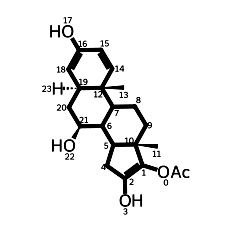 CC(=O)OC1=C(O)CC2C3C(CC[C@]12C)[C@@]1(C)C=CC(O)=C[C@@H]1C[C@@H]3O